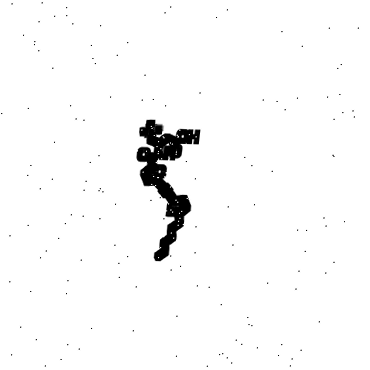 CCCCCCc1ccc(C#Cc2ccc(C(=O)NC(CC(=O)O)C[N+](C)(C)C)o2)s1